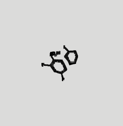 Ic1ccccc1.O=S(=O)(O)c1ccc(F)cc1F